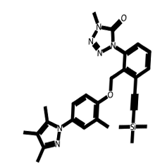 Cc1cc(-n2nc(C)c(C)c2C)ccc1OCc1c(C#C[Si](C)(C)C)cccc1-n1nnn(C)c1=O